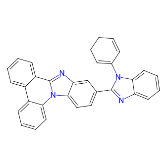 C1=CC(n2c(-c3ccc4c(c3)nc3c5ccccc5c5ccccc5n43)nc3ccccc32)=CCC1